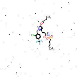 CCCCCS(=O)(=O)NC(=O)C=Cc1cc(OCCCC)nn1Cc1ccc(C(F)(F)F)cc1Cl